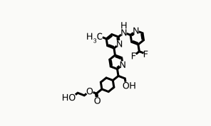 Cc1cc(Nc2cc(C(F)F)ccn2)nc(-c2ccc(C(CO)C3CCC(C(=O)OCCO)CC3)nc2)c1